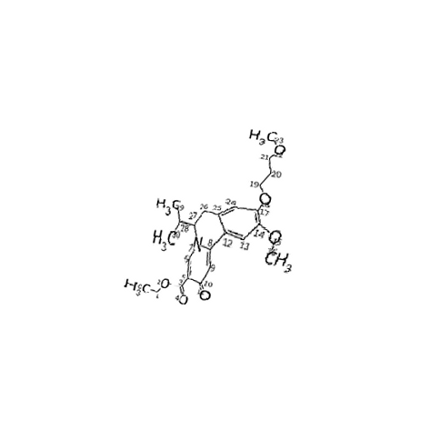 CCOC(=O)c1cn2c(cc1=O)-c1cc(OC)c(OCCCOC)cc1CC2C(C)C